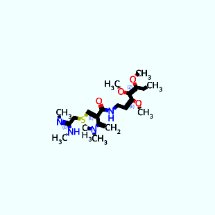 C=C(/C(=C\SC/C(=N\C)NC)C(=O)NC/C=C(OC)\C(OC)=C(/CC)OC)N(C)C